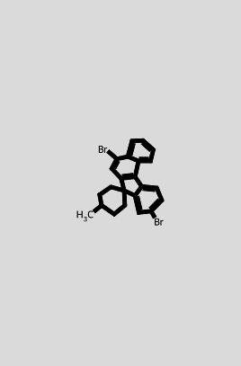 CC1CCC2(CC1)c1cc(Br)ccc1-c1c2cc(Br)c2ccccc12